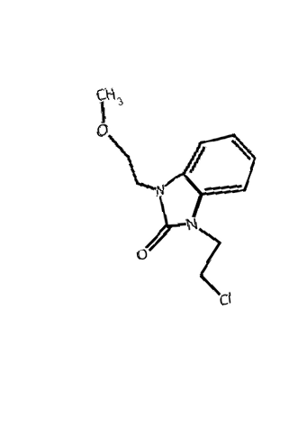 COCCn1c(=O)n(CCCl)c2ccccc21